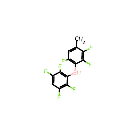 Cc1cc(F)c(Bc2c(F)c(F)cc(F)c2F)c(F)c1F